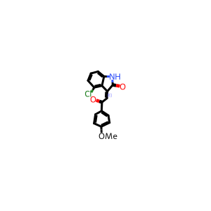 COc1ccc(C(=O)/C=C2/C(=O)Nc3cccc(Cl)c32)cc1